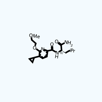 COCCOc1nc(C(=O)N[C@@H](CC(C)C)C(N)=O)ccc1C1CC1